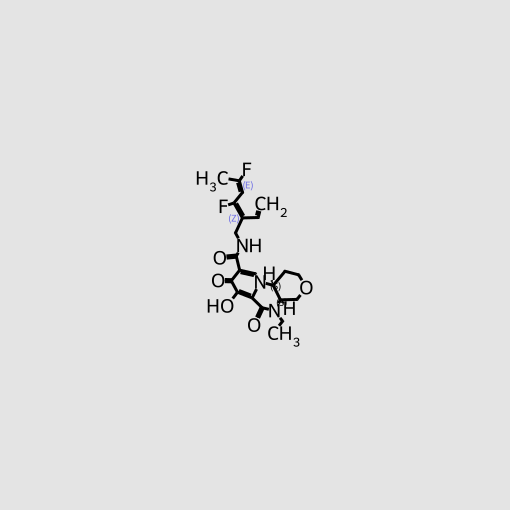 C=C/C(CNC(=O)c1cn2c(c(O)c1=O)C(=O)N(CC)[C@@H]1COCC[C@@H]12)=C(F)\C=C(/C)F